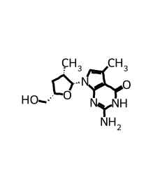 Cc1cn([C@@H]2O[C@H](CO)C[C@@H]2C)c2nc(N)[nH]c(=O)c12